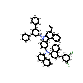 C=Cc1cc2c(c3ccccc13)c1cc(N(c3cccc4ccccc34)c3ccc(-c4cc(Cl)cc(Cl)c4)c4ccccc34)ccc1n2-c1cc(-c2ccccc2)cc(-c2ccccc2)c1